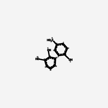 O=C(O)c1ccc(O)cc1.Oc1ccccc1O